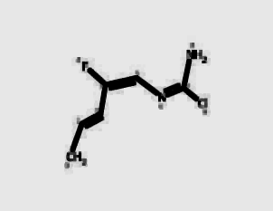 C/C=C/C(F)=C\N=C(/N)Cl